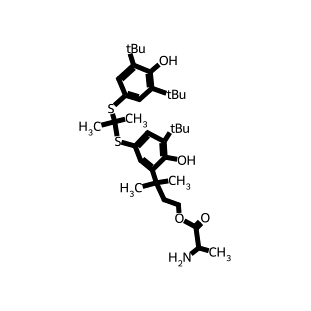 CC(N)C(=O)OCCC(C)(C)c1cc(SC(C)(C)Sc2cc(C(C)(C)C)c(O)c(C(C)(C)C)c2)cc(C(C)(C)C)c1O